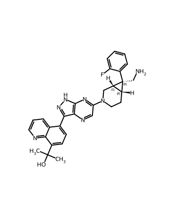 CC(C)(O)c1ccc(-c2n[nH]c3nc(N4CC[C@@H]5[C@H](C4)[C@@]5(CN)c4ccccc4F)cnc23)c2cccnc12